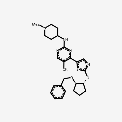 CSN1CCC(Nc2ncc(C(F)(F)F)c(-c3cnc(O[C@@H]4CCC[C@H]4OCc4ccccc4)s3)n2)CC1